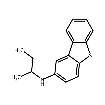 CCC(C)Nc1ccc2sc3ccccc3c2c1